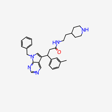 Cc1cccc(C(CC(=O)NCCC2CCNCC2)c2cn(Cc3ccccc3)c3ncncc23)c1